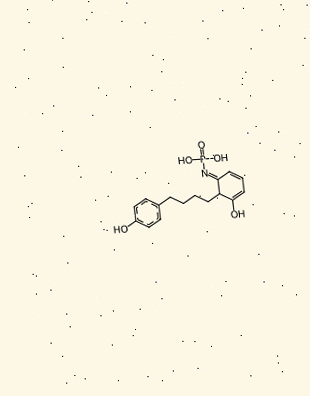 O=P(O)(O)N=C1C=CC=C(O)C1CCCCc1ccc(O)cc1